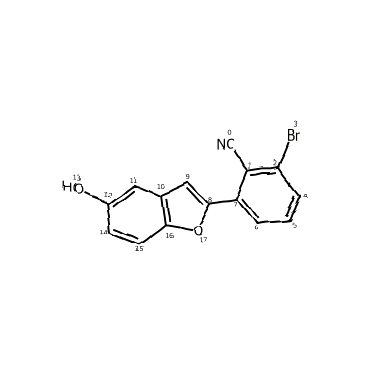 N#Cc1c(Br)cccc1-c1cc2cc(O)ccc2o1